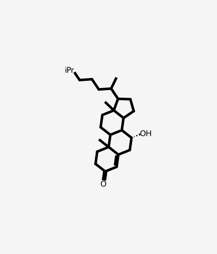 CC(C)CCCC(C)C1CCC2C3C(CCC12C)C1(C)CCC(=O)C=C1C[C@H]3O